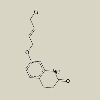 O=C1CCc2ccc(OCC=CCCl)cc2N1